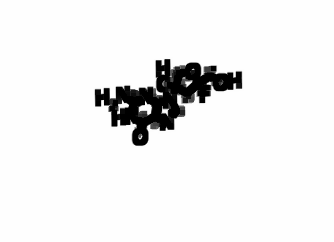 C[C@@]1(n2cnc3c(=O)[nH]c(N)nc32)CO[C@](F)(CO)C1